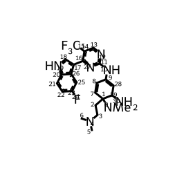 CNC1(CCN(C)C)C=CC(Nc2ncc(C(F)(F)F)c(-c3c[nH]c4ccc(F)cc34)n2)=CC1N